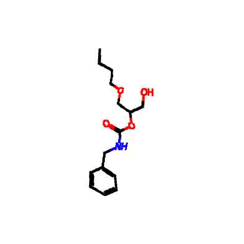 CCCCOCC(CO)OC(=O)NCc1ccccc1